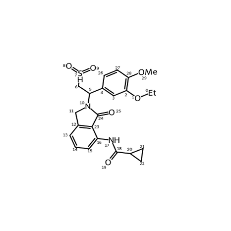 CCOc1cc(C(C[SH](=O)=O)N2Cc3cccc(NC(=O)C4CC4)c3C2=O)ccc1OC